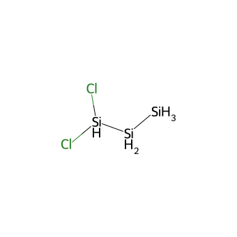 [SiH3][SiH2][SiH](Cl)Cl